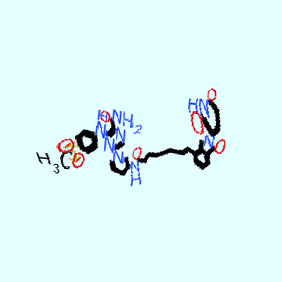 CS(=O)(=O)c1ccc(Nc2nc(N3CCCC(NC(=O)CCCCCCc4cccc5c4CN(C4CCC(=O)NC4=O)C5=O)C3)cnc2C(N)=O)cc1